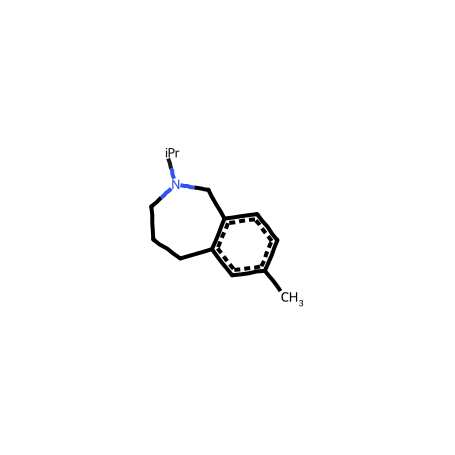 Cc1ccc2c(c1)CCCN(C(C)C)C2